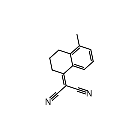 Cc1cccc2c1CCCC2=C(C#N)C#N